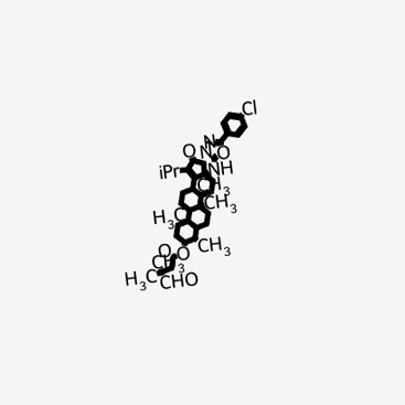 CC(C)C1=C2C3CCC4C5(C)CCC(OC(=O)CC(C)(C)C=O)C(C)C5CCC4(C)[C@]3(C)CCC2(Nc2nnc(-c3ccc(Cl)cc3)o2)CC1=O